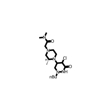 CCCCN1CC(N2CCN(CC(=O)N(C)C)C[C@H]2C)C(Cl)C(=O)N1